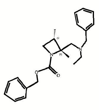 CCN(Cc1ccccc1)C[C@@]1(C)[C@@H](C)CN1C(=O)OCc1ccccc1